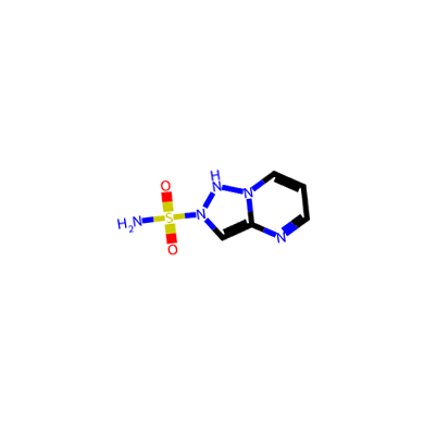 NS(=O)(=O)N1C=C2N=CC=CN2N1